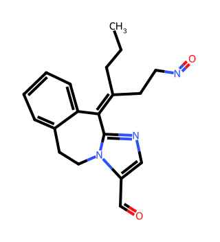 CCC/C(CCN=O)=C1\c2ccccc2CCn2c(C=O)cnc21